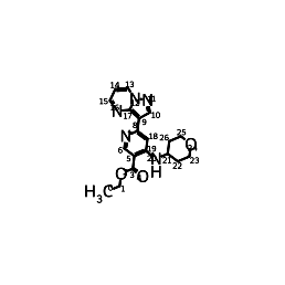 CCOC(=O)c1cnc(-c2cnn3cccnc23)cc1NC1CCOCC1